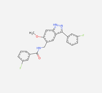 COc1cc2[nH]nc(-c3cccc(F)c3)c2cc1CNC(=O)c1cccc(F)c1